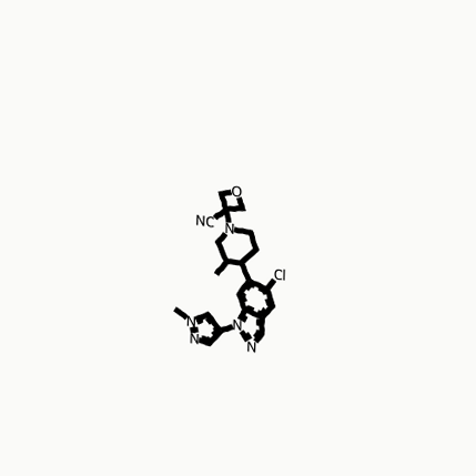 CC1CN(C2(C#N)COC2)CCC1c1cc2c(cnn2-c2cnn(C)c2)cc1Cl